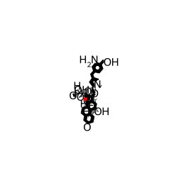 Cn1cc(Cc2ccc(CO)c(N)c2)cc1[C@@H]1O[C@@H]2C[C@H]3[C@@H]4CCC5=CC(=O)C=C[C@]5(C)[C@@]4(F)[C@@H](O)C[C@]3(C)[C@]2(C(=O)CO[PH](=O)O)O1